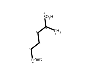 CCCCCCCCC(C)S(=O)(=O)O